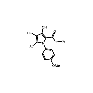 COc1ccc(-n2c(C(C)=O)c(O)c(O)c2C(=O)OC(C)C)cc1